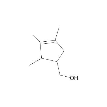 CC1=C(C)C(C)C(CO)C1